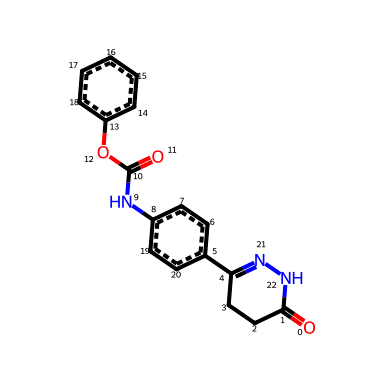 O=C1CCC(c2ccc(NC(=O)Oc3ccccc3)cc2)=NN1